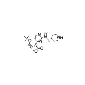 C[C@H](Nc1nccc(N2C(=O)OC[C@@H]2[C@H](C)OC(C)(C)C)n1)C1CCNCC1